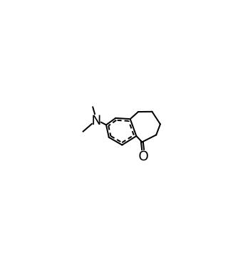 CN(C)c1ccc2c(c1)CCCCC2=O